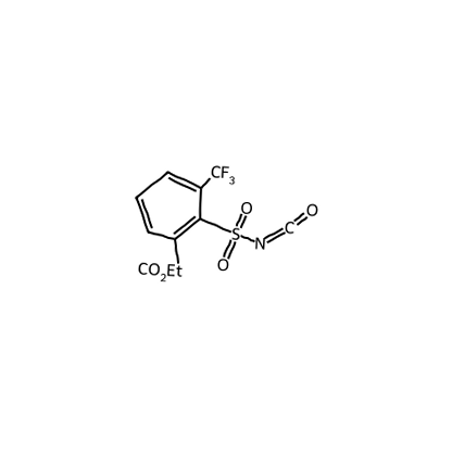 CCOC(=O)c1cccc(C(F)(F)F)c1S(=O)(=O)N=C=O